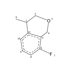 CC1COCc2c(F)cccc21